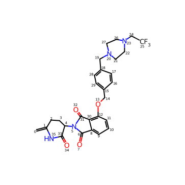 C=C1CCC(N2C(=O)c3cccc(OCc4ccc(CN5CCN(CC(F)(F)F)CC5)cc4)c3C2=O)C(=O)N1